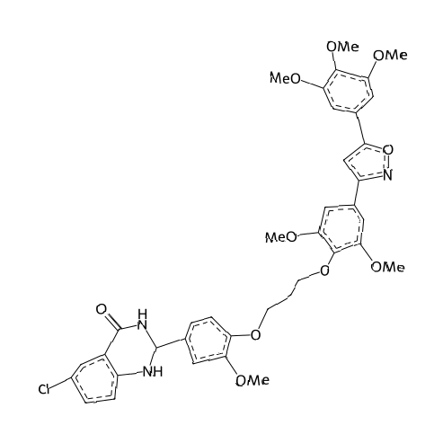 COc1cc(C2NC(=O)c3cc(Cl)ccc3N2)ccc1OCCCOc1c(OC)cc(-c2cc(-c3cc(OC)c(OC)c(OC)c3)on2)cc1OC